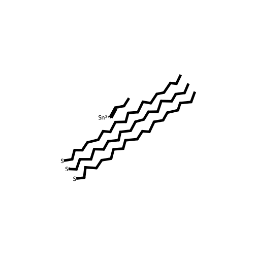 CCC=[CH][Sn+3].CCCCCCCCCCCCCCCCCC[S-].CCCCCCCCCCCCCCCCCC[S-].CCCCCCCCCCCCCCCCCC[S-]